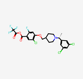 C[C@H](c1cc(Cl)cc(Cl)c1)N1CCC(COc2cc(F)c(C(=O)OC(=O)C(F)(F)F)cc2Cl)CC1